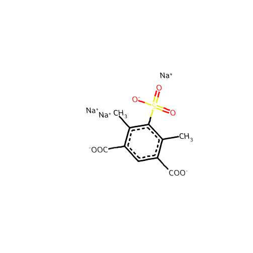 Cc1c(C(=O)[O-])cc(C(=O)[O-])c(C)c1S(=O)(=O)[O-].[Na+].[Na+].[Na+]